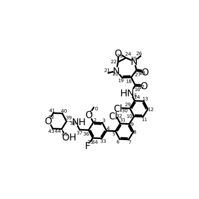 COc1cc(-c2cccc(-c3cccc(NC(=O)C4=CN(C)C5OC5N(C)C4=O)c3Cl)c2Cl)cc(F)c1CN[C@H]1CCOC[C@@H]1O